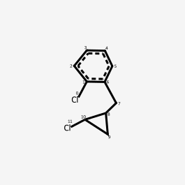 Clc1ccccc1CC1CC1Cl